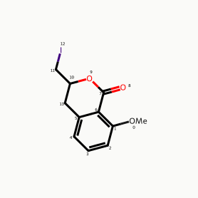 COc1cccc2c1C(=O)OC(CI)C2